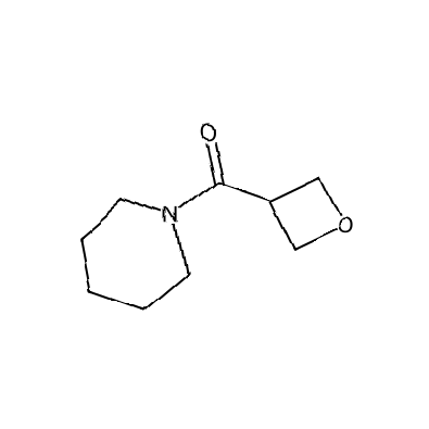 O=C(C1COC1)N1CCCCC1